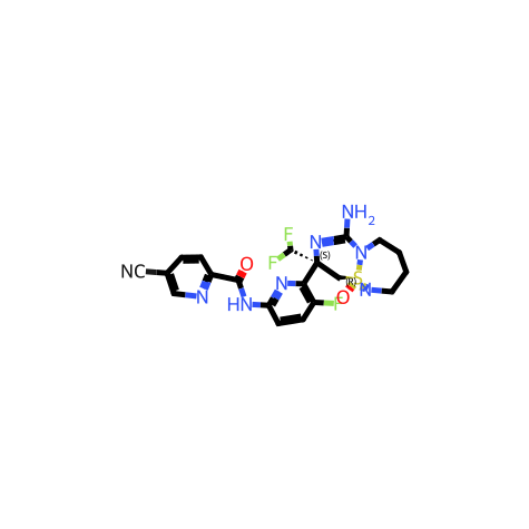 N#Cc1ccc(C(=O)Nc2ccc(F)c([C@]3(C(F)F)C[S@]4(=O)=NCCCCN4C(N)=N3)n2)nc1